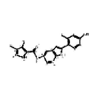 Cc1cc(C#N)ccc1-c1cc2cc(NC(=O)c3[nH]nc(C)c3C)cnc2[nH]1